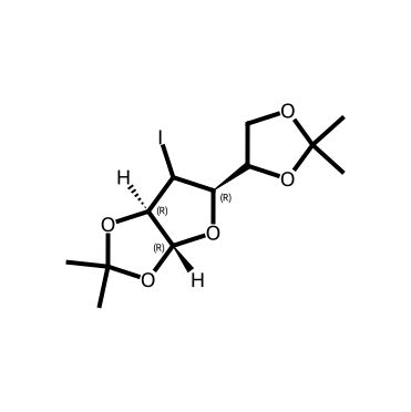 CC1(C)OCC([C@H]2O[C@@H]3OC(C)(C)O[C@H]3C2I)O1